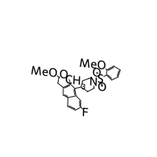 COC(=O)Cc1cc2ccc(F)cc2c(C2CCN(S(=O)(=O)c3ccccc3OC)CC2)c1C